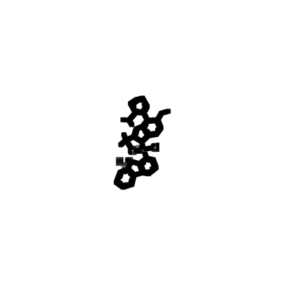 CCc1ccc2c(c1-c1ccccc1C(C)C)C=C(C(C)(C)C)[CH]2[Zr]([Cl])([Cl])[c]1cccc2c1[SiH2]c1ccccc1-2